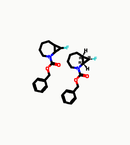 O=C(OCc1ccccc1)N1CCCCC2C(F)C21.O=C(OCc1ccccc1)N1CCCC[C@H]2[C@H](F)[C@H]21